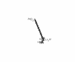 CCCNC(=O)CC[C@@H](NC(=O)CCCCCCCCCCCCCCCCCCCCC(=O)O)C(=O)O